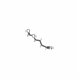 N#CCCCO[C]=O